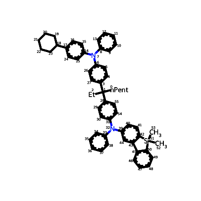 CCCCCC(CC)(c1ccc(N(c2ccccc2)c2ccc(C3CCCCC3)cc2)cc1)c1ccc(N(c2ccccc2)c2ccc3c(c2)-c2ccccc2[Si]3(C)C)cc1